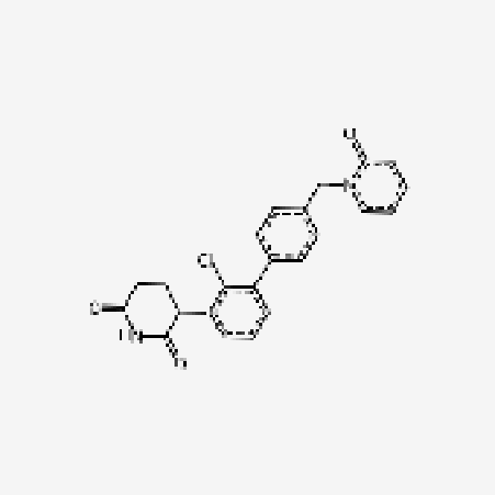 O=C1CCC(c2cccc(-c3ccc(Cn4ccccc4=O)cc3)c2Cl)C(=O)N1